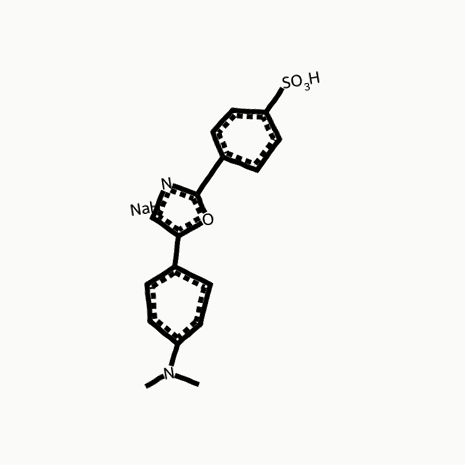 CN(C)c1ccc(-c2cnc(-c3ccc(S(=O)(=O)O)cc3)o2)cc1.[NaH]